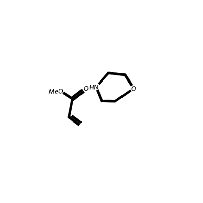 C1COCCN1.C=CC(=O)OC